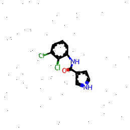 O=C(Nc1cccc(Cl)c1Cl)c1cc[nH]c1